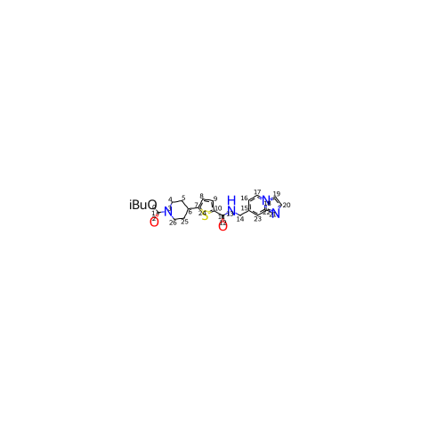 CC(C)COC(=O)N1CCC(c2ccc(C(=O)NCc3ccn4ccnc4c3)s2)CC1